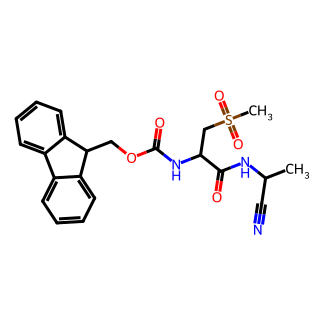 CC(C#N)NC(=O)C(CS(C)(=O)=O)NC(=O)OCC1c2ccccc2-c2ccccc21